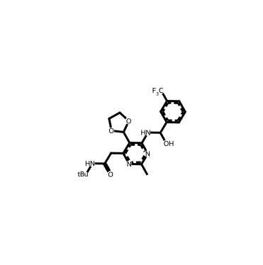 Cc1nc(CC(=O)NC(C)(C)C)c(C2OCCO2)c(NC(O)c2cccc(C(F)(F)F)c2)n1